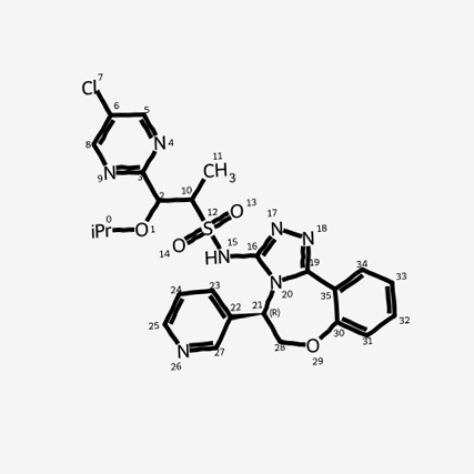 CC(C)OC(c1ncc(Cl)cn1)C(C)S(=O)(=O)Nc1nnc2n1[C@H](c1cccnc1)COc1ccccc1-2